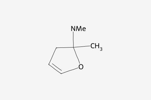 CNC1(C)CC=CO1